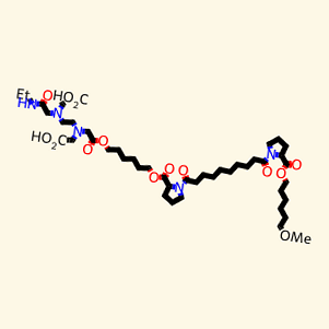 CCNC(=O)CN(CCN(CC(=O)O)CC(=O)OCCCCCCOC(=O)C1CCCN1C(=O)CCCCCCCCC(=O)N1CCCC1C(=O)OCCCCCCOC)CC(=O)O